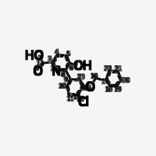 O=C(O)c1ccc(O)c(-c2ccc(Cl)c(OCc3ccccc3)c2)n1